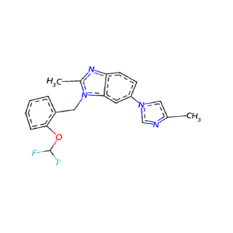 Cc1cn(-c2ccc3nc(C)n(Cc4ccccc4OC(F)F)c3c2)cn1